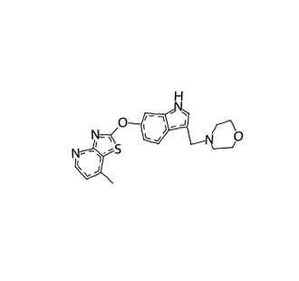 Cc1ccnc2nc(Oc3ccc4c(CN5CCOCC5)c[nH]c4c3)sc12